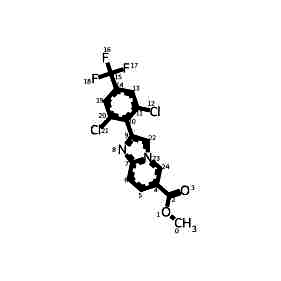 COC(=O)c1ccc2nc(-c3c(Cl)cc(C(F)(F)F)cc3Cl)cn2c1